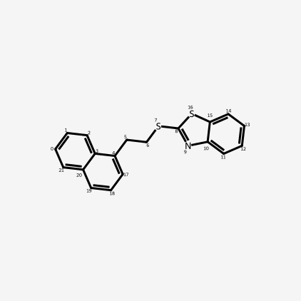 c1ccc2c(CCSc3nc4ccccc4s3)cccc2c1